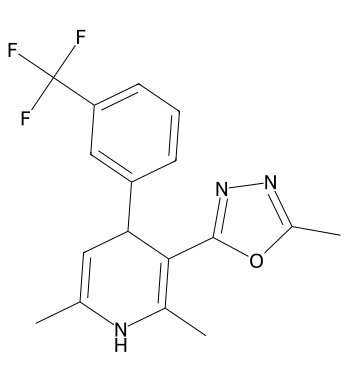 CC1=CC(c2cccc(C(F)(F)F)c2)C(c2nnc(C)o2)=C(C)N1